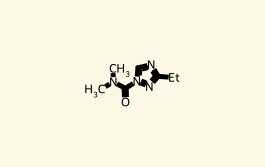 CCc1ncn(C(=O)N(C)C)n1